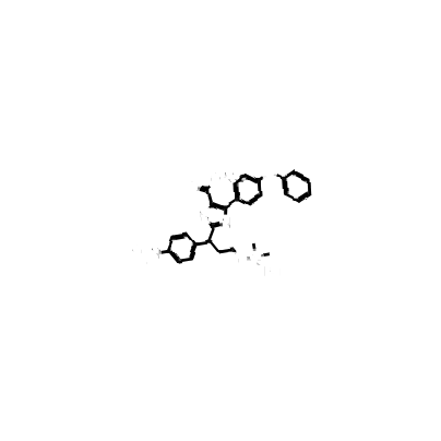 COC(=O)c1[nH]c(C(CCO[Si](C)(C)C(C)(C)C)c2ccc([N+](=O)[O-])cc2)nc1-c1ccc(Oc2ccccc2)cc1